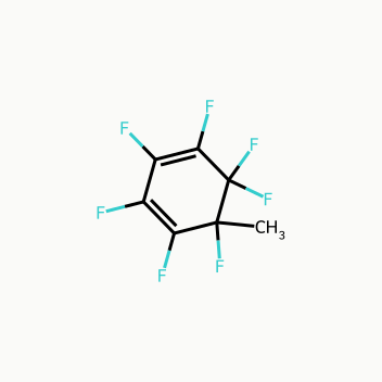 CC1(F)C(F)=C(F)C(F)=C(F)C1(F)F